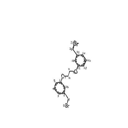 BrCc1cccc(OCCOc2cccc(CBr)c2)c1